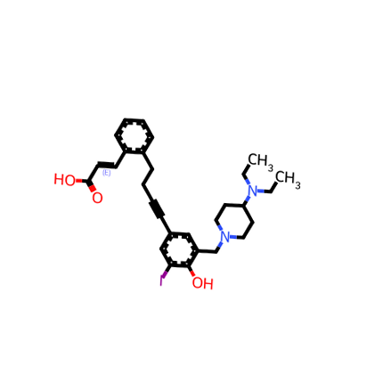 CCN(CC)C1CCN(Cc2cc(C#CCCc3ccccc3/C=C/C(=O)O)cc(I)c2O)CC1